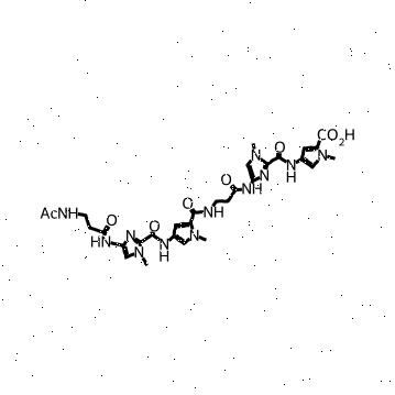 CC(=O)NCCC(=O)Nc1cn(C)c(C(=O)Nc2cc(C(=O)NCCC(=O)Nc3cn(C)c(C(=O)Nc4cc(C(=O)O)n(C)c4)n3)n(C)c2)n1